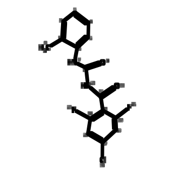 Cc1ccccc1NC(=O)NC(=O)c1c(F)cc(Cl)cc1F